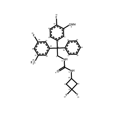 COc1cc(C(CNC(=O)NC2CC(F)(F)C2)(c2ccccc2)c2cc(F)cc(C(F)(F)F)c2)ccc1F